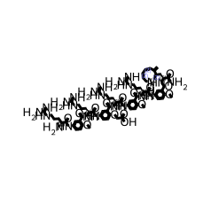 C=C1/C=C\C=C/CN/C=C\1C[C@H](NC(=O)c1cc(NC(=O)[C@H](CCCNC(=N)N)NC(=O)c2cc(NC(=O)[C@H](CCCNC(=N)N)NC(=O)c3cc(NC(=O)[C@H](CCCNC(=N)N)NC(=O)c4cc(NC(=O)[C@@H](N)CCCNC(=N)N)ccc4OC)ccc3OCC(=O)O)ccc2OC)ccc1OC)C(N)=O